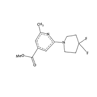 COC(=O)c1cc(C)nc(N2CCC(F)(F)CC2)c1